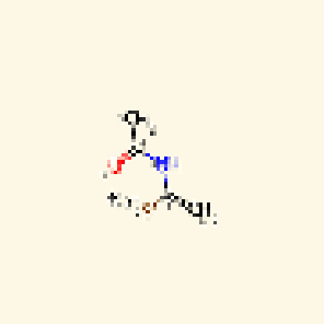 C=C([S-])NC(C)=O.[Na+]